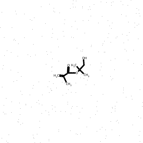 C=C(C)C(=O)OC(C)(C)CO